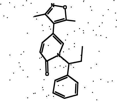 CCC(c1ccccc1)n1cc(-c2c(C)noc2C)ccc1=O